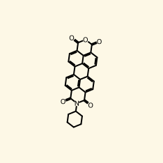 O=C1OC(=O)c2ccc3c4ccc5c6c(ccc(c7ccc1c2c73)c64)C(=O)N(C1CCCCC1)C5=O